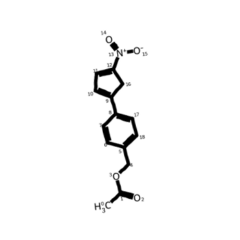 CC(=O)OCc1ccc(C2=CC=C([N+](=O)[O-])C2)cc1